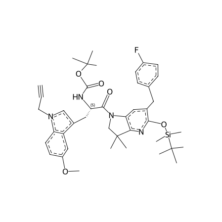 C#CCn1cc(C[C@H](NC(=O)OC(C)(C)C)C(=O)N2CC(C)(C)c3nc(O[Si](C)(C)C(C)(C)C)c(Cc4ccc(F)cc4)cc32)c2cc(OC)ccc21